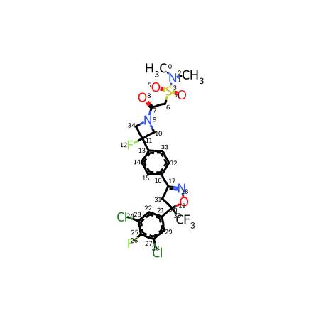 CN(C)S(=O)(=O)CC(=O)N1CC(F)(c2ccc(C3=NOC(c4cc(Cl)c(F)c(Cl)c4)(C(F)(F)F)C3)cc2)C1